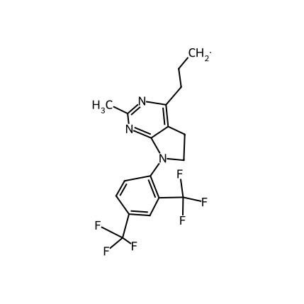 [CH2]CCc1nc(C)nc2c1CCN2c1ccc(C(F)(F)F)cc1C(F)(F)F